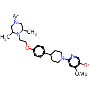 COc1cc(N2CCC(c3ccc(OCCN4[C@H](C)CN(C(C)=O)C[C@@H]4C)cc3)CC2)ncc1Br